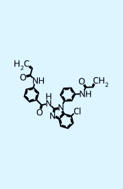 C=CC(=O)Nc1cccc(C(=O)Nc2nc3cccc(Cl)c3n2-c2cccc(NC(=O)C=C)c2)c1